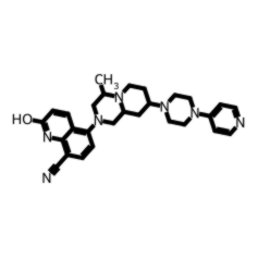 CC1CN(c2ccc(C#N)c3nc(O)ccc23)CC2CC(N3CCN(c4ccncc4)CC3)CCN12